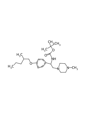 CCCC(C)COc1ccc(C(CN2CCN(C)CC2)NC(=O)OC(C)(C)C)cc1